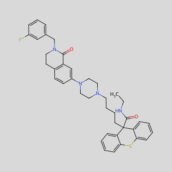 CCNC(=O)C1(CCCCN2CCN(c3ccc4c(c3)C(=O)N(Cc3cccc(F)c3)CC4)CC2)c2ccccc2Sc2ccccc21